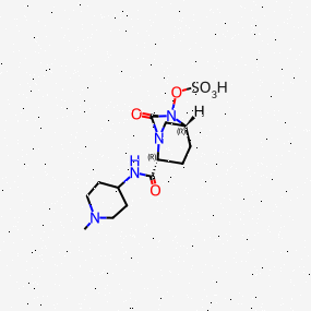 CN1CCC(NC(=O)[C@H]2CC[C@@H]3CN2C(=O)N3OS(=O)(=O)O)CC1